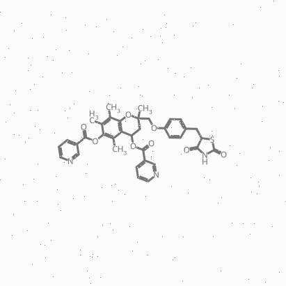 Cc1c(C)c2c(c(C)c1OC(=O)c1cccnc1)C(OC(=O)c1cccnc1)CC(C)(COc1ccc(CC3SC(=O)NC3=O)cc1)O2